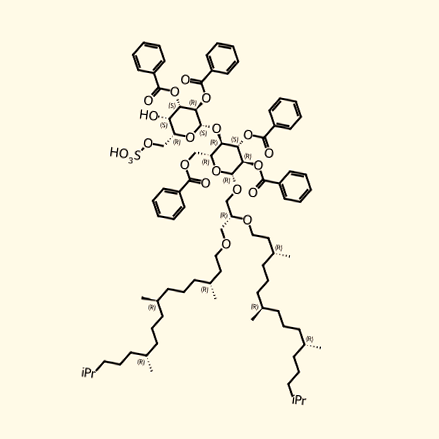 CC(C)CCC[C@@H](C)CCC[C@@H](C)CCC[C@@H](C)CCOC[C@H](CO[C@@H]1O[C@H](COC(=O)c2ccccc2)[C@@H](O[C@@H]2O[C@H](COS(=O)(=O)O)[C@H](O)[C@H](OC(=O)c3ccccc3)[C@H]2OC(=O)c2ccccc2)[C@H](OC(=O)c2ccccc2)[C@H]1OC(=O)c1ccccc1)OCC[C@H](C)CCC[C@H](C)CCC[C@H](C)CCCC(C)C